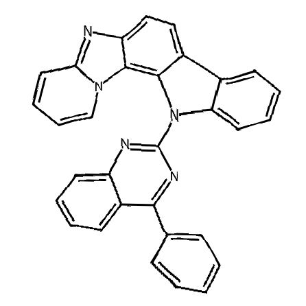 c1ccc(-c2nc(-n3c4ccccc4c4ccc5nc6ccccn6c5c43)nc3ccccc23)cc1